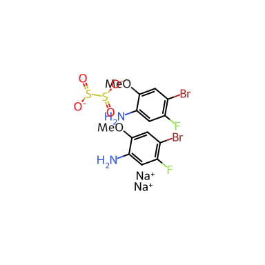 COc1cc(Br)c(F)cc1N.COc1cc(Br)c(F)cc1N.O=S([O-])S(=O)[O-].[Na+].[Na+]